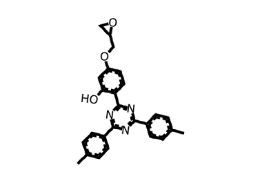 Cc1ccc(-c2nc(-c3ccc(C)cc3)nc(-c3ccc(OCC4CO4)cc3O)n2)cc1